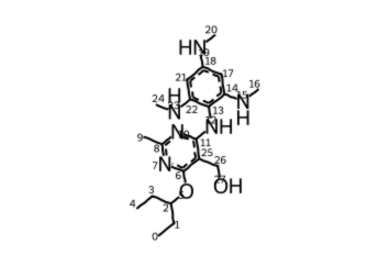 CCC(CC)Oc1nc(C)nc(Nc2c(NC)cc(NC)cc2NC)c1CO